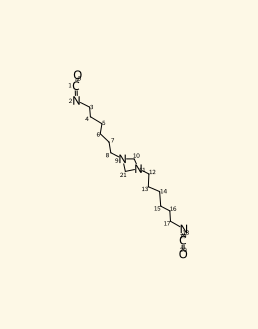 O=C=NCCCCCCN1CN(CCCCCCN=C=O)C1